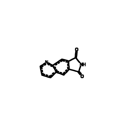 O=C1NC(=O)c2cc3ncccc3cc21